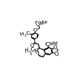 COCOc1ccc(C(=O)CC2c3c(cc4c(c3OC)OCO4)CCN2C)cc1C